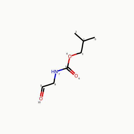 CC(C)COC(=O)NC[C]=O